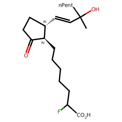 CCCCCC(C)(O)C=C[C@H]1CCC(=O)[C@@H]1CCCCCC(F)C(=O)O